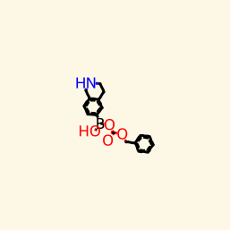 O=C(OCc1ccccc1)OB(O)c1ccc2c(c1)CCNC2